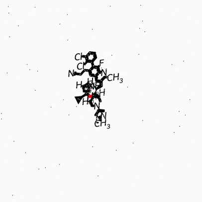 Cc1nc2c(F)c(-c3cccc(Cl)c3Cl)c(CCC#N)cc2c2c1cc([C@H]1[C@H]3C[C@H](CN(c4cnn(C)c4)C3)N1C(=O)C1CC1)n2[C@H]1[C@H]2CN[C@@H]1C2